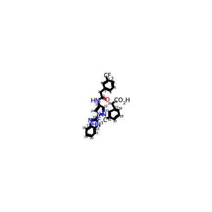 O=C(Cc1cccc(C(F)(F)F)c1)Nc1cnn(-c2nc3ccccc3[nH]2)c1.O=C(O)Cc1cccc(C(F)(F)F)c1